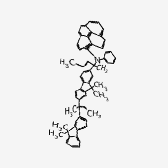 CCCC(C)(c1ccc2c(c1)C(C)(C)c1cc(C(C)(CC)c3ccc4c(c3)C(C)(C)c3ccccc3-4)ccc1-2)N(c1ccccc1)c1ccc2ccc3cccc4ccc1c2c34